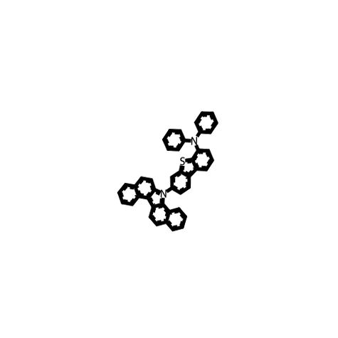 c1ccc(N(c2ccccc2)c2cccc3c2sc2cc(-n4c5ccc6ccccc6c5c5ccc6ccccc6c54)ccc23)cc1